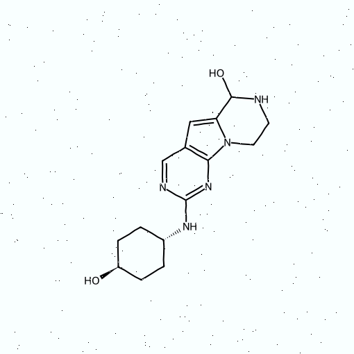 OC1NCCn2c1cc1cnc(N[C@H]3CC[C@H](O)CC3)nc12